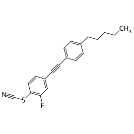 CCCCCc1ccc(C#Cc2ccc(SC#N)c(F)c2)cc1